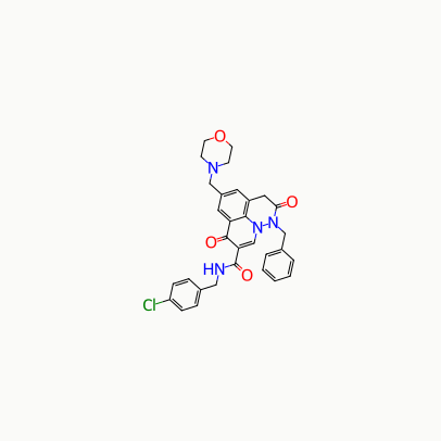 O=C(NCc1ccc(Cl)cc1)c1cn2c3c(cc(CN4CCOCC4)cc3c1=O)CC(=O)N2Cc1ccccc1